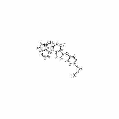 CC1CC1c1ccc(OC2CCc3c(-c4cccc5ccn(C)c45)ccc(F)c32)cc1